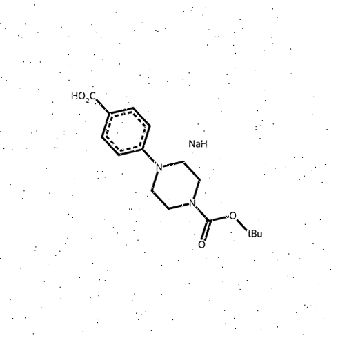 CC(C)(C)OC(=O)N1CCN(c2ccc(C(=O)O)cc2)CC1.[NaH]